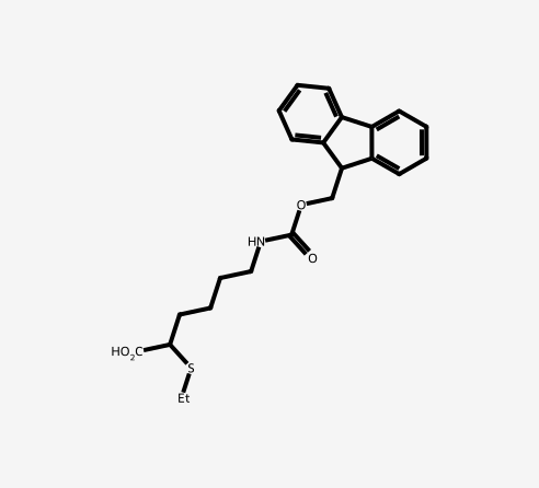 CCSC(CCCCNC(=O)OCC1c2ccccc2-c2ccccc21)C(=O)O